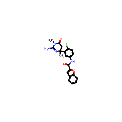 CN1C(=O)CC(C)(c2cc(NC(=O)c3cc4ccccc4o3)ccc2F)N=C1N